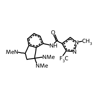 CNC1CC(NC)(NC)c2c(NC(=O)c3cn(C)nc3C(F)(F)F)cccc21